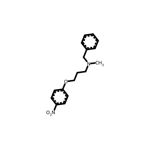 CN(CCCOc1ccc([N+](=O)[O-])cc1)Cc1ccccc1